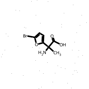 CC(N)(C(=O)O)c1ccc(Br)o1